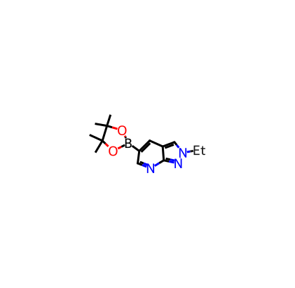 CCn1cc2cc(B3OC(C)(C)C(C)(C)O3)cnc2n1